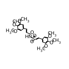 COc1cc(C=CC(=O)NS(=O)(=O)C=Cc2cc(OC)c(OC)c(OC)c2)cc(OC)c1OC